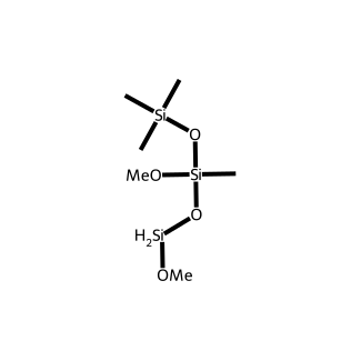 CO[SiH2]O[Si](C)(OC)O[Si](C)(C)C